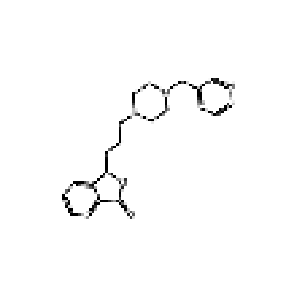 O=C1OC(CCCN2CCN(Cc3cccnc3)CC2)c2ccccc21